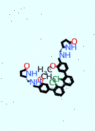 COc1cc(-c2cccc(-c3cccc(-c4ccc(CNC[C@@H]5CCC(=O)N5)c(OC)c4)c3Cl)c2Cl)ccc1CNC[C@@H]1CCC(=O)N1